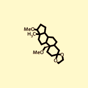 COC[C@]12CCC3(CC1CCC1C4CCC(OC)C4(C)CCC12)OCCO3